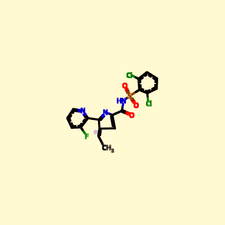 C/C=C1\C=C(C(=O)NS(=O)(=O)c2c(Cl)cccc2Cl)N=C1c1ncccc1F